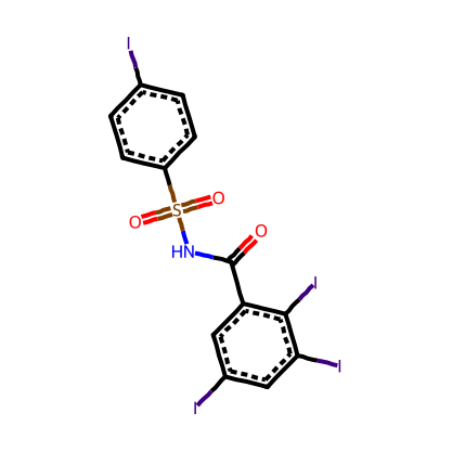 O=C(NS(=O)(=O)c1ccc(I)cc1)c1cc(I)cc(I)c1I